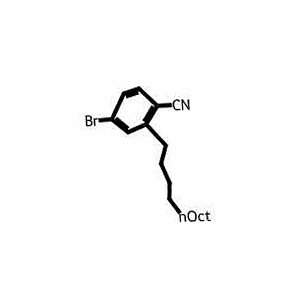 CCCCCCCCCCCCc1cc(Br)ccc1C#N